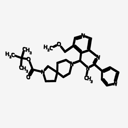 COCc1cncc2c1C(N1CCC3(CCN(C(=O)OC(C)(C)C)C3)CC1)N(C)C(c1ccncc1)=N2